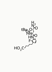 CC(C)(C)OC(=O)N[C@@H](CCC(N)=O)C(=O)Nc1cccc(CCCCCC(=O)O)c1F